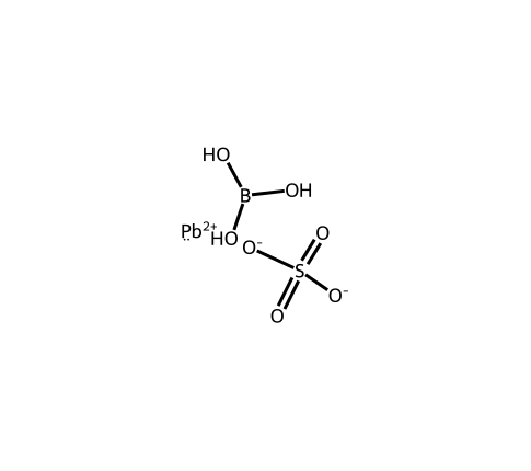 O=S(=O)([O-])[O-].OB(O)O.[Pb+2]